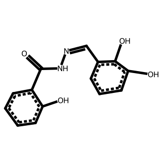 O=C(N/N=C\c1cccc(O)c1O)c1ccccc1O